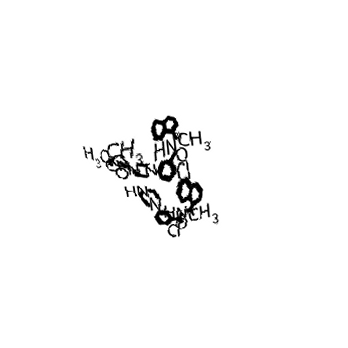 C[C@@H](NC(=O)c1cc(N2CCN(C(=O)OC(C)(C)C)CC2)ccc1Cl)c1cccc2ccccc12.C[C@@H](NC(=O)c1cc(N2CCNCC2)ccc1Cl)c1cccc2ccccc12